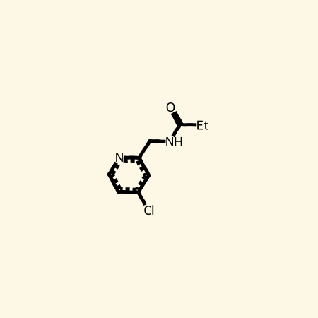 CCC(=O)NCc1cc(Cl)ccn1